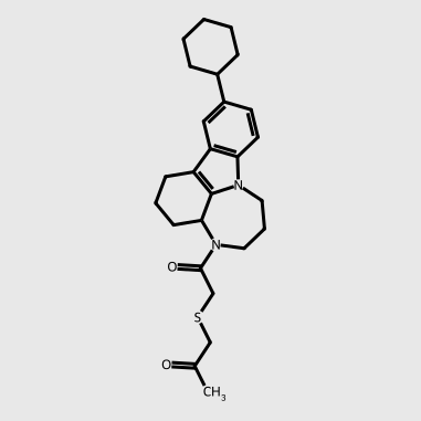 CC(=O)CSCC(=O)N1CCCn2c3c(c4cc(C5CCCCC5)ccc42)CCCC31